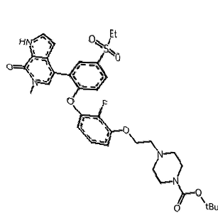 CCS(=O)(=O)c1ccc(Oc2cccc(OCCN3CCN(C(=O)OC(C)(C)C)CC3)c2F)c(-c2cn(C)c(=O)c3[nH]ccc23)c1